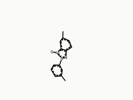 Cc1cccc(-n2nc3ccc(C)cc3[n+]2[O-])c1